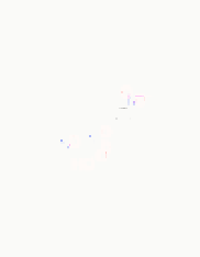 O=C(NC(C(=O)O)C1CC(Cl)=NO1)OCc1ccc([N+](=O)[O-])cc1